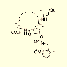 COCC1c2cccc(F)c2CCN1C(=O)O[C@@H]1CC2C(=O)N[C@]3(C(=O)O)C[C@H]3/C=C\CCCCC[C@H](NC(=O)OC(C)(C)C)C(=O)N2C1